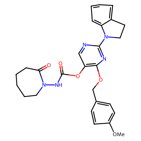 COc1ccc(COc2nc(N3CCc4ccccc43)ncc2OC(=O)NN2CCCCCC2=O)cc1